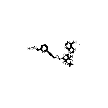 CC1(C)O[C@@H]2[C@@H](COCC#Cc3cccc(/C=N/O)n3)OC(n3cnc4c(N)ncnc43)[C@@H]2O1